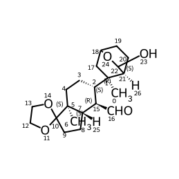 C[C@]1([C@H]2CC[C@@]3(C)[C@@H](CCC34OCCO4)[C@@H]2C=O)CC2CC[C@@H]1C(O)O2